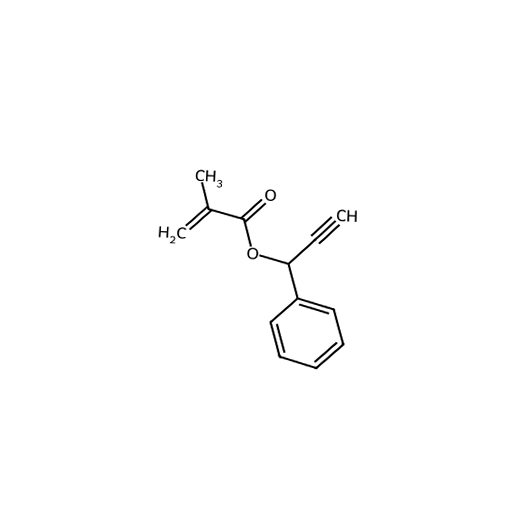 C#CC(OC(=O)C(=C)C)c1ccccc1